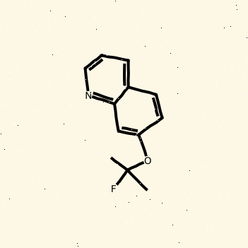 CC(C)(F)Oc1ccc2cccnc2c1